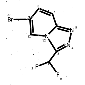 FC(F)c1nnc2ccc(Br)cn12